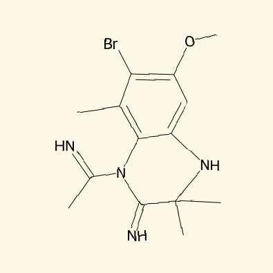 COc1cc2c(c(C)c1Br)N(C(C)=N)C(=N)C(C)(C)N2